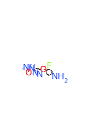 CNC(=O)N(C)c1cc(Oc2ccc(N)cc2F)ncn1